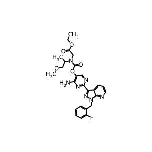 CCOC(=O)CN(C(=O)Oc1cnc(-c2nn(Cc3ccccc3F)c3ncccc23)nc1N)C(C)COC